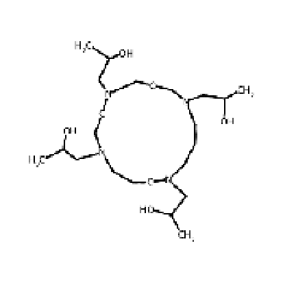 CC(O)CN1CCCN(CC(C)O)CCCN(CC(C)O)CCN(CC(C)O)CCC1